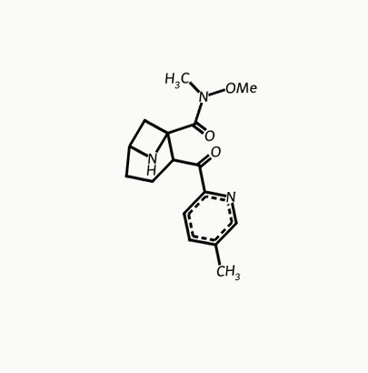 CON(C)C(=O)C12CC(CCC1C(=O)c1ccc(C)cn1)N2